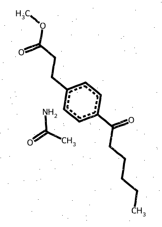 CC(N)=O.CCCCCC(=O)c1ccc(CCC(=O)OC)cc1